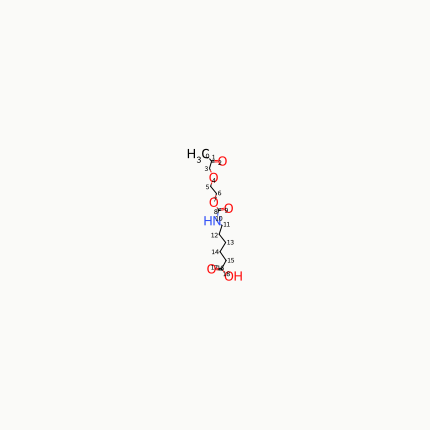 CC(=O)COCCOC(=O)NCCCCCC(=O)O